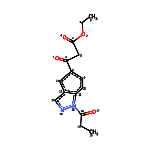 CCOC(=O)CC(=O)c1ccc2c(cnn2C(=O)CC)c1